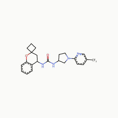 O=C(NC1CCN(c2ccc(C(F)(F)F)cn2)C1)NC1CC2(CCC2)Oc2ccccc21